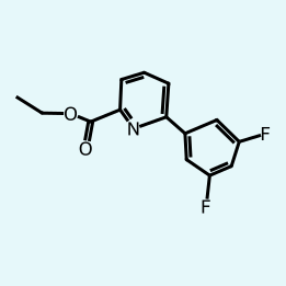 CCOC(=O)c1cccc(-c2cc(F)cc(F)c2)n1